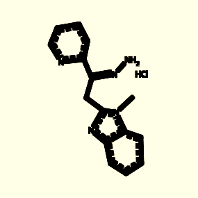 Cl.Cn1c(CC(=NN)c2ccccn2)nc2ccccc21